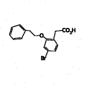 O=C(O)Cc1ccc(Br)cc1OCCc1ccccc1